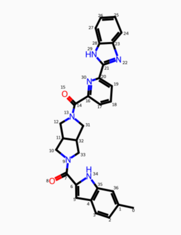 Cc1ccc2cc(C(=O)N3CC4CN(C(=O)c5cccc(-c6nc7ccccc7[nH]6)n5)CC4C3)[nH]c2c1